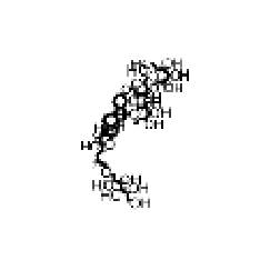 CC1O[C@@H](O[C@H]2C(O)[C@H](O[C@@H]3OC(CO)[C@@H](O)C(O)[C@@H]3O)C(CO)O[C@H]2O[C@H]2CC[C@@]3(C)C(=CC[C@H]4[C@@H]5CC6OC(O)(CC[C@@H](C)COCC(O)[C@@H](O)[C@H](O)C(O)CO)[C@@H](C)[C@@H]6[C@@]5(C)CC[C@@H]43)C2)[C@@H](O)C(O)[C@H]1O